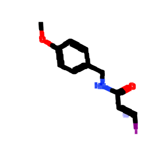 COc1ccc(CNC(=O)/C=C/I)cc1